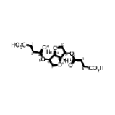 O=C(O)CCC(=O)O[C@@H]1CO[C@H]2[C@@H]1OC[C@H]2OC(=O)CCC(=O)O